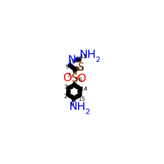 Nc1ccc(S(=O)(=O)c2cnc(N)s2)cc1